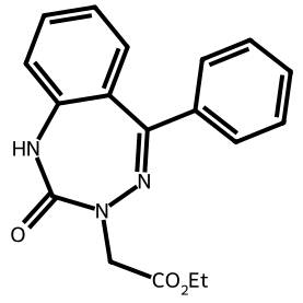 CCOC(=O)CN1N=C(c2ccccc2)c2ccccc2NC1=O